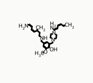 C=C/C=C\C=C(/N)N1CCN(Cc2cc(CNCCC(=C)/C=C\C=C/N)cc(OC)c2O)CC1